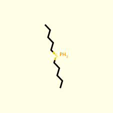 CCCCCSCCCCC.P